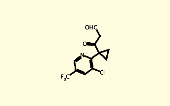 O=CCC(=O)C1(c2ncc(C(F)(F)F)cc2Cl)CC1